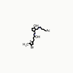 CC(=O)CCC/C=C\CC1C(O)CC[C@@H]1/C=C/[C@@H](O)CCc1cc(Br)c(C)s1